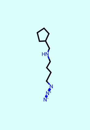 [N-]=[N+]=NCCCCNCC1CCCC1